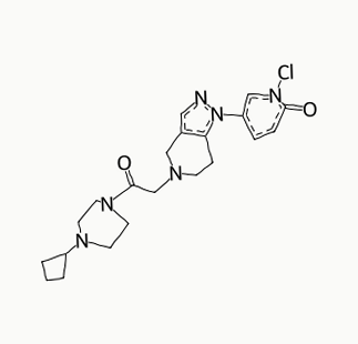 O=C(CN1CCc2c(cnn2-c2ccc(=O)n(Cl)c2)C1)N1CCN(C2CCC2)CC1